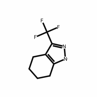 FC(F)(F)C1=N[N]C2=C1CCCC2